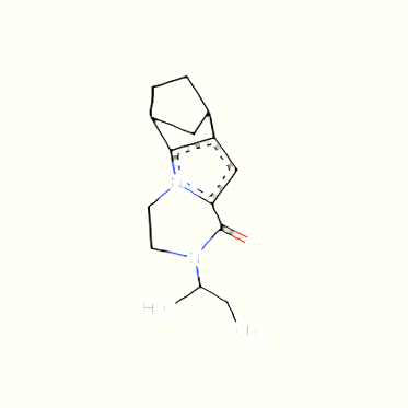 CCC(C)N1CCn2c(cc3c2C2CCC3C2)C1=O